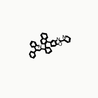 c1ccc(-c2cc(-c3ccccc3-c3ccc4ccccc4c3-c3ccc4oc(-c5ccccn5)nc4c3)nc3ccccc23)cc1